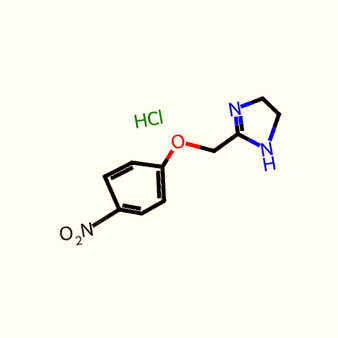 Cl.O=[N+]([O-])c1ccc(OCC2=NCCN2)cc1